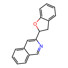 [c]1nc(C2Cc3ccccc3O2)cc2ccccc12